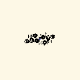 O=S(=O)(O)c1cc(NN2C=C(Nc3ccccc3)C=C(N3CCOCC3)S2)ccc1/C=C/c1ccc(NN2C=C(Nc3ccccc3)C=C(N3CCOCC3)S2)cc1S(=O)(=O)O